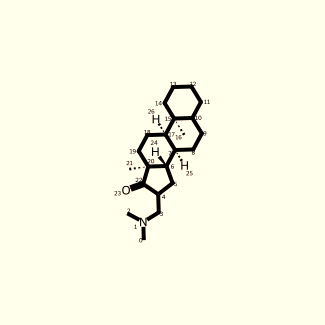 CN(C)CC1C[C@H]2[C@@H]3CCC4CCCC[C@]4(C)[C@@H]3CC[C@]2(C)C1=O